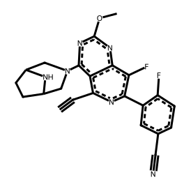 C#Cc1nc(-c2cc(C#N)ccc2F)c(F)c2nc(OC)nc(N3CC4CCC(C3)N4)c12